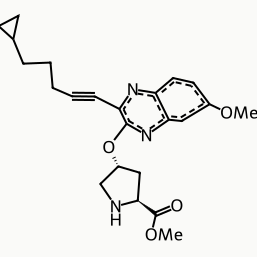 COC(=O)[C@@H]1C[C@@H](Oc2nc3cc(OC)ccc3nc2C#CCCCC2CC2)CN1